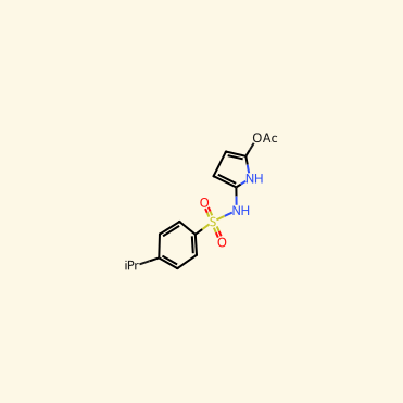 CC(=O)Oc1ccc(NS(=O)(=O)c2ccc(C(C)C)cc2)[nH]1